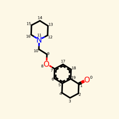 O=C1CCCc2cc(OCCN3CCCCC3)ccc21